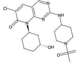 CS(=O)(=O)N1CCC(Nc2ncc3cc(Cl)c(=O)n([C@@H]4CCC[C@@H](O)C4)c3n2)CC1